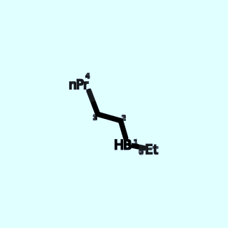 CCBCCCCC